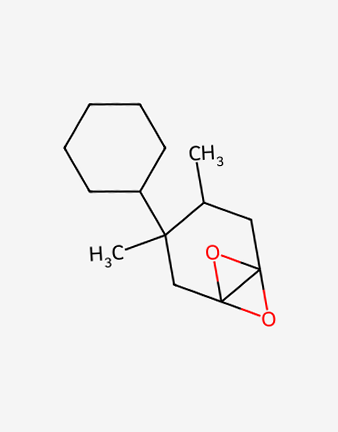 CC1CC23OC2(CC1(C)C1CCCCC1)O3